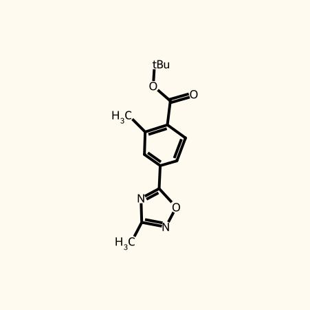 Cc1noc(-c2ccc(C(=O)OC(C)(C)C)c(C)c2)n1